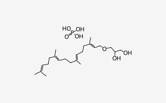 CC(C)=CCCC(C)=CCCC(C)=CCCC(C)=CCOCC(O)CO.O=P(O)(O)O